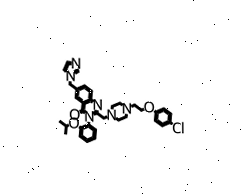 CC(C)Oc1ccccc1-n1c(CN2CCN(CCOc3ccc(Cl)cc3)CC2)nc2ccc(Cn3ccnc3)cc2c1=O